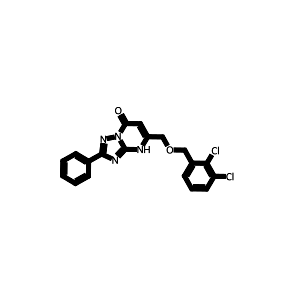 O=c1cc(COCc2cccc(Cl)c2Cl)[nH]c2nc(-c3ccccc3)nn12